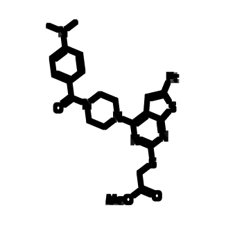 CCc1cc2c(N3CCN(C(=O)c4ccc(N(C)C)cc4)CC3)nc(SCC(=O)OC)nc2s1